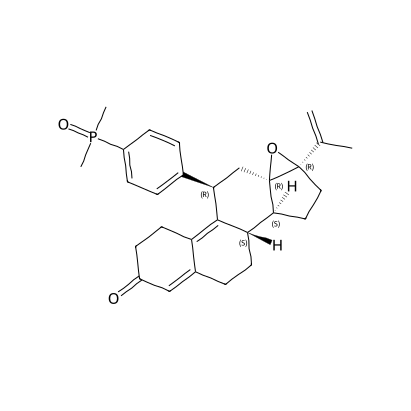 C=C(C)[C@]12CC[C@H]3[C@@H]4CCC5=CC(=O)CCC5=C4[C@@H](c4ccc(P(C)(C)=O)cc4)C[C@@]31O2